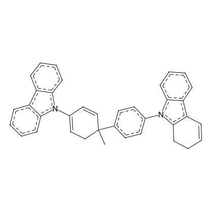 CC1(c2ccc(-n3c4c(c5ccccc53)C=CCC4)cc2)C=CC(n2c3ccccc3c3ccccc32)=CC1